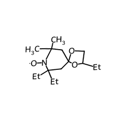 CCC1COC2(CC(C)(C)N([O])C(CC)(CC)C2)O1